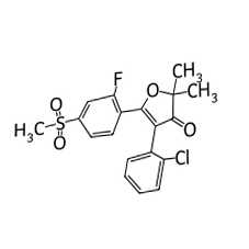 CC1(C)OC(c2ccc(S(C)(=O)=O)cc2F)=C(c2ccccc2Cl)C1=O